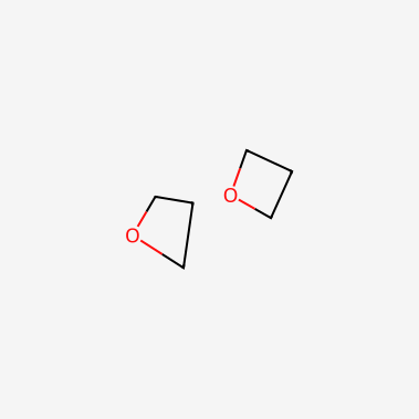 C1COC1.C1COC1